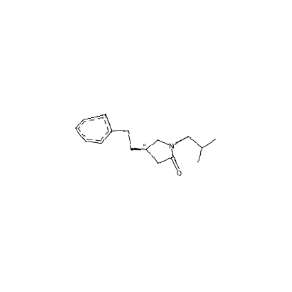 CC(C)CN1C[C@H](CCc2ccccc2)CC1=O